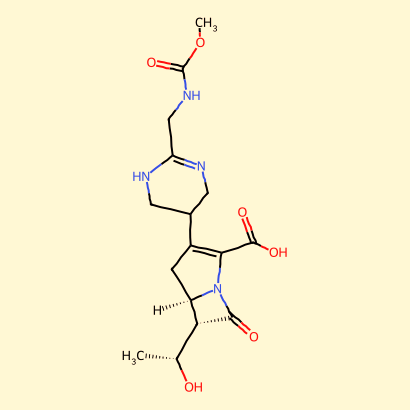 COC(=O)NCC1=NCC(C2=C(C(=O)O)N3C(=O)[C@H]([C@@H](C)O)[C@H]3C2)CN1